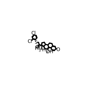 CC12C=CC(=O)C=C1CCC1C2[C@@H](O)CC2(C)C1CC[C@]2(O)C(=O)CSc1ccc(Cl)cc1Cl